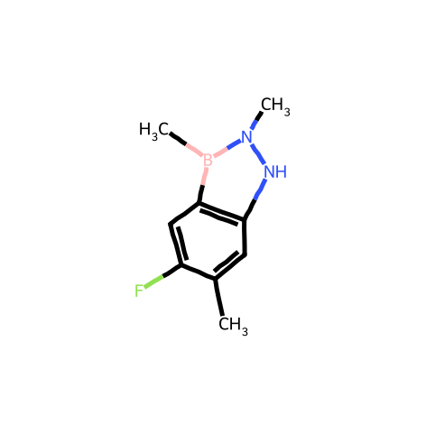 CB1c2cc(F)c(C)cc2NN1C